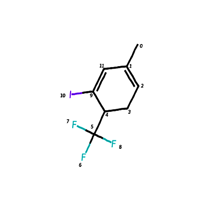 CC1=CCC(C(F)(F)F)C(I)=C1